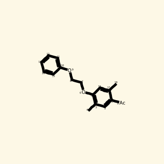 CC(=O)c1cc(C)c(OCCOc2ccccc2)cc1C